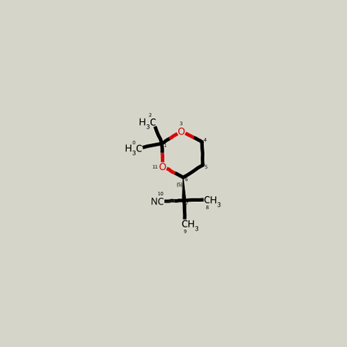 CC1(C)OCC[C@@H](C(C)(C)C#N)O1